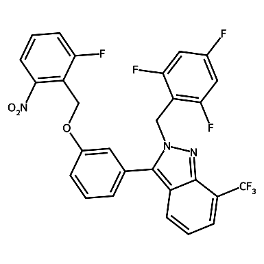 O=[N+]([O-])c1cccc(F)c1COc1cccc(-c2c3cccc(C(F)(F)F)c3nn2Cc2c(F)cc(F)cc2F)c1